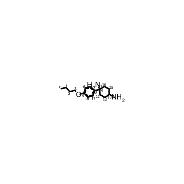 CCCCOc1ccc(C2(N)CCC(N)CC2)cc1